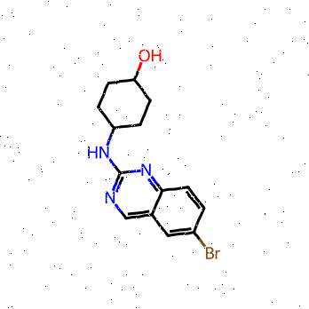 OC1CCC(Nc2ncc3cc(Br)ccc3n2)CC1